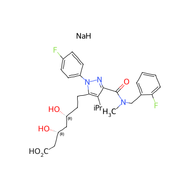 CC(C)c1c(C(=O)N(C)Cc2ccccc2F)nn(-c2ccc(F)cc2)c1CC[C@@H](O)C[C@@H](O)CC(=O)O.[NaH]